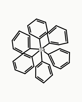 c1cc[c]([Ta]([c]2ccccc2)([c]2ccccc2)([c]2ccccc2)([c]2ccccc2)[c]2ccccc2)cc1